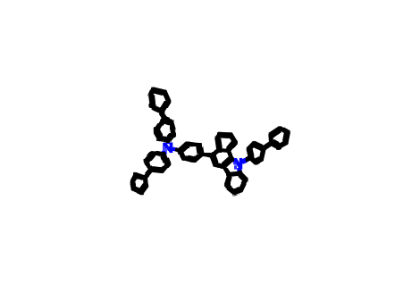 c1ccc(-c2ccc(N(c3ccc(-c4ccccc4)cc3)c3ccc(-c4cc5c6ccccc6n(-c6ccc(-c7ccccc7)cc6)c5c5ccccc45)cc3)cc2)cc1